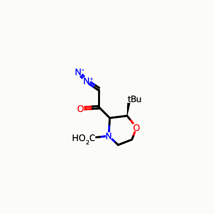 CC(C)(C)[C@H]1OCCN(C(=O)O)C1C(=O)C=[N+]=[N-]